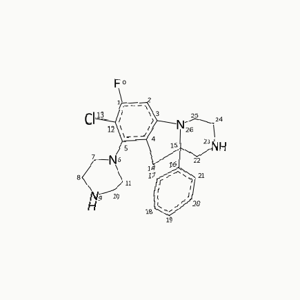 Fc1cc2c(c(N3CCNCC3)c1Cl)CC1(c3ccccc3)CNCCN21